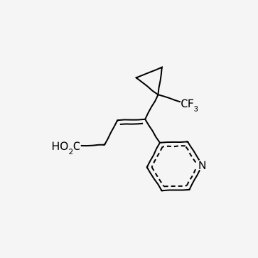 O=C(O)C/C=C(\c1cccnc1)C1(C(F)(F)F)CC1